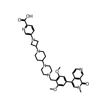 COc1cc(-c2cn(C)c(=O)c3cnccc23)cc(OC)c1CN1CCN(C2CCN(C3CN(c4ccc(C(=O)O)nc4)C3)CC2)CC1